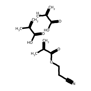 C=C(C)C(=O)O.C=C(C)C(=O)O.C=C(C)C(=O)OCCC#N